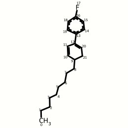 CCCCCCCCCC1C=CC(c2ccc(F)cc2)=CC1